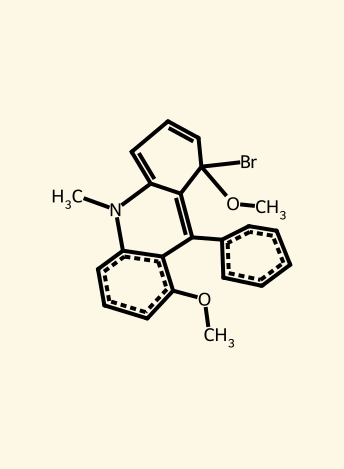 COc1cccc2c1C(c1ccccc1)=C1C(=CC=CC1(Br)OC)N2C